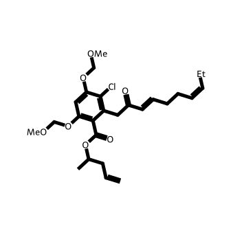 C=CCC(C)OC(=O)c1c(OCOC)cc(OCOC)c(Cl)c1CC(=O)/C=C/CC/C=C\CC